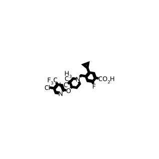 CC1(C)CN(Cc2cc(F)c(C(=O)O)cc2C2CC2)CCC1Oc1cc(C(F)(F)F)c(Cl)cn1